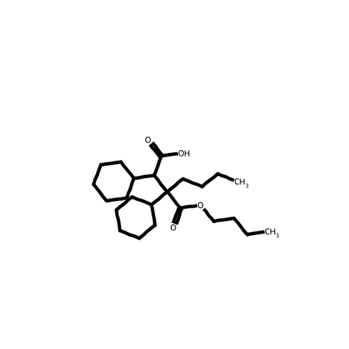 CCCCOC(=O)C(CCCC)(C1CCCCC1)C(C(=O)O)C1CCCCC1